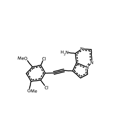 COc1cc(OC)c(Cl)c(C#Cc2ccn3ncnc(N)c23)c1Cl